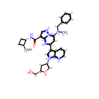 CO[C@H]1CC[C@@H]1NC(=O)c1cnn2c(N(C)Cc3ccccc3)cc(-c3cn([C@H]4CO[C@@H](CO)C4)c4ncccc34)nc12